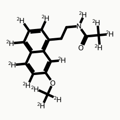 [2H]c1c([2H])c(CCN([2H])C(=O)C([2H])([2H])[2H])c2c([2H])c(OC([2H])([2H])[2H])c([2H])c([2H])c2c1[2H]